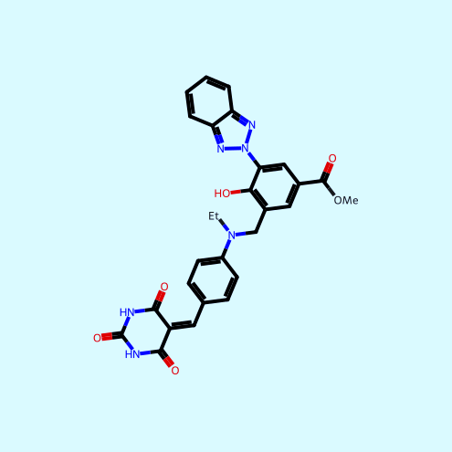 CCN(Cc1cc(C(=O)OC)cc(-n2nc3ccccc3n2)c1O)c1ccc(C=C2C(=O)NC(=O)NC2=O)cc1